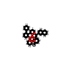 c1ccc(-c2ccccc2-c2c(-c3ccccc3)cccc2N(c2ccc(-c3ccc4ccccc4c3)cc2)c2cccc3oc4ccccc4c23)cc1